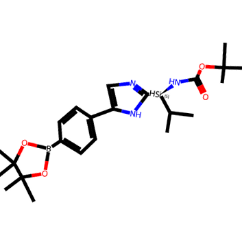 CC(C)[Si@H](NC(=O)OC(C)(C)C)c1ncc(-c2ccc(B3OC(C)(C)C(C)(C)O3)cc2)[nH]1